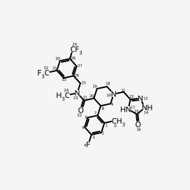 Cc1cc(F)ccc1C1CN(Cc2n[nH]c(=O)[nH]2)CCC1C(=O)N(C)Cc1cc(C(F)(F)F)cc(C(F)(F)F)c1